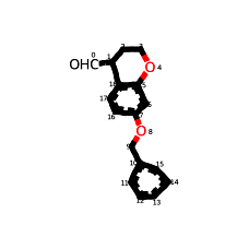 O=CC1CCOc2cc(OCc3ccccc3)ccc21